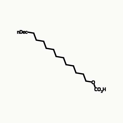 CCCCCCCCCCCCCCCCCCCCCCOC(=O)O